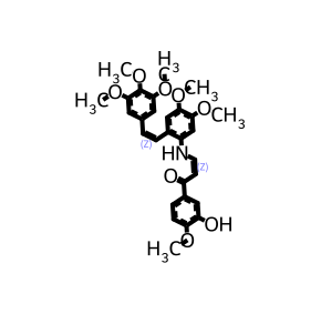 COc1ccc(C(=O)/C=C\Nc2cc(OC)c(OC)cc2/C=C\c2cc(OC)c(OC)c(OC)c2)cc1O